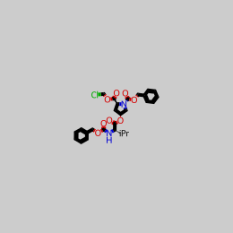 CC(C)[C@H](NC(=O)OCc1ccccc1)C(=O)O[C@@H]1C[C@@H](C(=O)OCCl)N(C(=O)OCc2ccccc2)C1